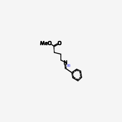 COC(=O)CCC/N=C/c1ccccc1